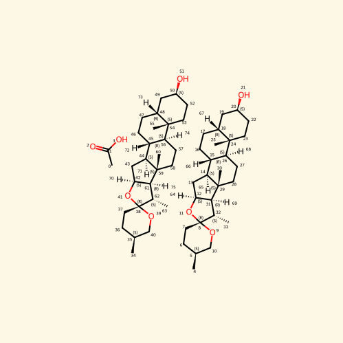 CC(=O)O.C[C@H]1CC[C@@]2(OC1)O[C@H]1C[C@H]3[C@@H]4CC[C@@H]5C[C@@H](O)CC[C@]5(C)[C@H]4CC[C@]3(C)[C@H]1[C@@H]2C.C[C@H]1CC[C@@]2(OC1)O[C@H]1C[C@H]3[C@@H]4CC[C@@H]5C[C@@H](O)CC[C@]5(C)[C@H]4CC[C@]3(C)[C@H]1[C@@H]2C